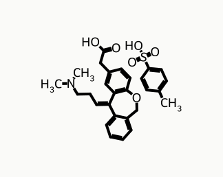 CN(C)CCC=C1c2ccccc2COc2ccc(CC(=O)O)cc21.Cc1ccc(S(=O)(=O)O)cc1